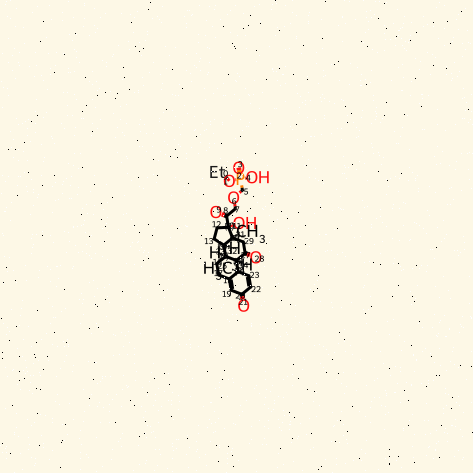 CCOP(=O)(O)COCC(=O)[C@@]1(O)CC[C@H]2[C@@H]3CCC4=CC(=O)C=C[C@]4(C)[C@H]3C(=O)C[C@@]21C